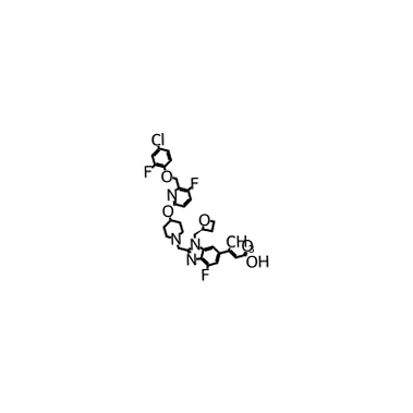 C/C(=C\C(=O)O)c1cc(F)c2nc(CN3CCC(Oc4ccc(F)c(COc5ccc(Cl)cc5F)n4)CC3)n(C[C@@H]3CCO3)c2c1